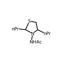 CCCC1CSC(CCC)N1NC(C)=O